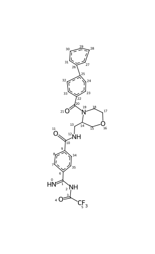 N=C(NC(=O)C(F)(F)F)c1ccc(C(=O)NCC2COCCN2C(=O)c2ccc(-c3ccccc3)cc2)cc1